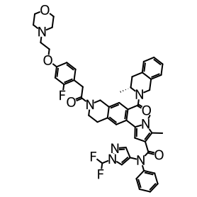 Cc1c(C(=O)N(c2ccccc2)c2cnn(C(F)F)c2)cc(-c2cc3c(cc2C(=O)N2Cc4ccccc4C[C@H]2C)CN(C(=O)Cc2ccc(OCCN4CCOCC4)cc2F)CC3)n1C